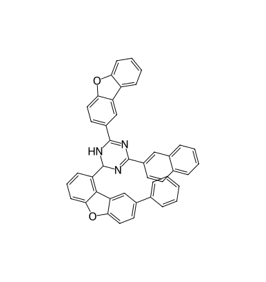 c1ccc(-c2ccc3oc4cccc(C5N=C(c6ccc7ccccc7c6)N=C(c6ccc7oc8ccccc8c7c6)N5)c4c3c2)cc1